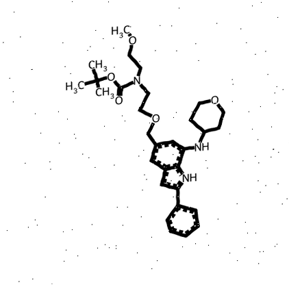 COCCN(CCOCc1cc(NC2CCOCC2)c2[nH]c(-c3ccccc3)cc2c1)C(=O)OC(C)(C)C